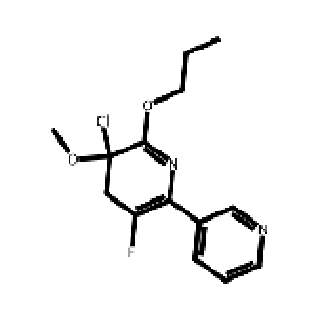 CCCOC1=NC(c2cccnc2)=C(F)CC1(Cl)OC